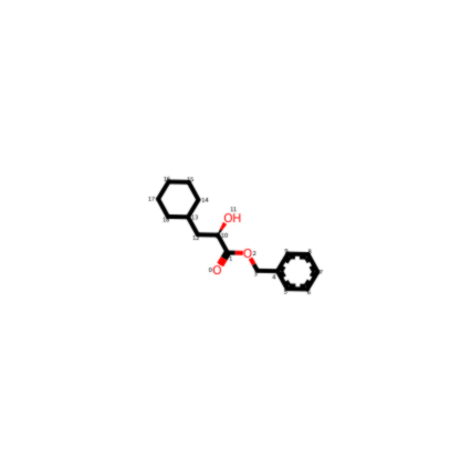 O=C(OCc1ccccc1)[C@H](O)CC1CCCCC1